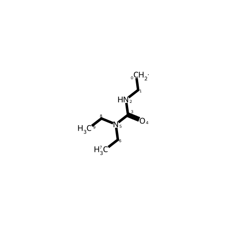 [CH2]CNC(=O)N(CC)CC